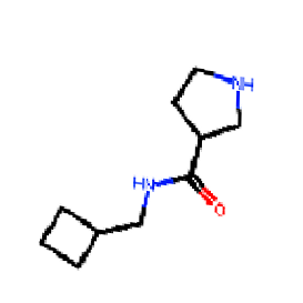 O=C(NCC1CCC1)C1CCNC1